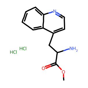 COC(=O)C(N)Cc1ccnc2ccccc12.Cl.Cl